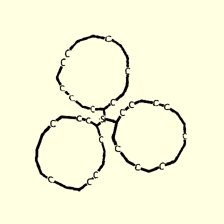 C1CCCCCCCCC([Si](C2CCCCCCCCCCCCCCCC2)C2CCCCCCCCCCCCCCCC2)CCCCCCC1